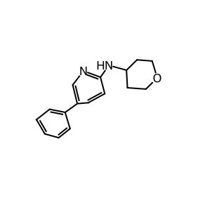 c1ccc(-c2ccc(NC3CCOCC3)nc2)cc1